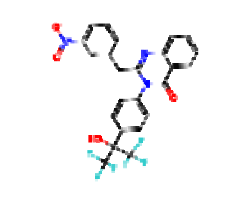 O=c1c2ccccc2nc(Cc2cccc([N+](=O)[O-])c2)n1-c1ccc(C(O)(C(F)(F)F)C(F)(F)F)cc1